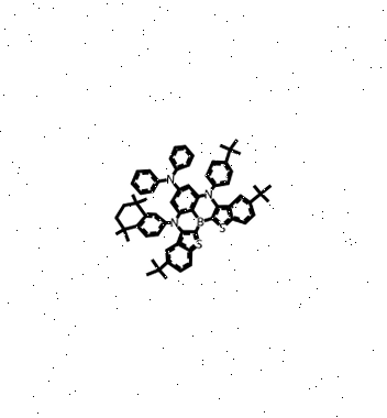 CC(C)(C)c1ccc(N2c3cc(N(c4ccccc4)c4ccccc4)cc4c3B(c3sc5ccc(C(C)(C)C)cc5c32)c2sc3ccc(C(C)(C)C)cc3c2N4c2ccc3c(c2)C(C)(C)CCC3(C)C)cc1